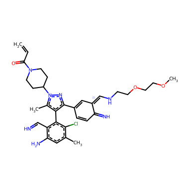 C=CC(=O)N1CCC(n2nc(C3=C/C(=C/NCCOCCOC)C(=N)C=C3)c(-c3c(Cl)c(C)cc(N)c3C=N)c2C)CC1